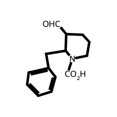 O=CC1CCCN(C(=O)O)C1Cc1ccccc1